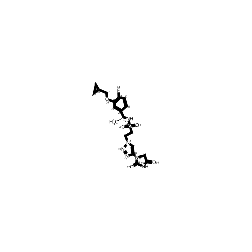 C[C@@H](NS(=O)(=O)CCn1cc(N2CC(=O)NC2=O)nn1)c1ccc(F)c(OCC2CC2)c1